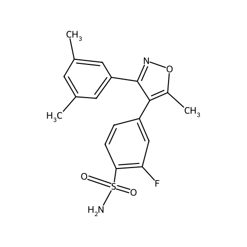 Cc1cc(C)cc(-c2noc(C)c2-c2ccc(S(N)(=O)=O)c(F)c2)c1